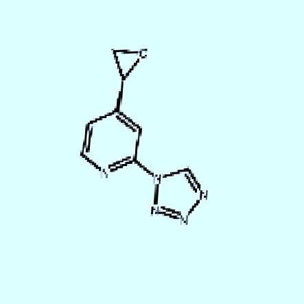 c1cc([C@H]2CO2)cc(-n2cnnn2)n1